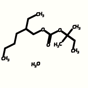 CCCCC(CC)COC(=O)OC(C)(C)CC.O